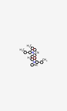 [C-]#[N+]c1ccccc1N(C1=C2C=CC3=C4C(=CC=C(C=C1)C24)C(N(c1ccccc1C#N)c1ccc(-c2cccc(C)c2)cc1-c1cccc(C)c1)C=C3)c1ccc(-c2cccc(C)c2)cc1-c1cccc(C)c1